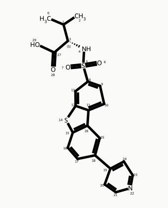 CC(C)[C@H](NS(=O)(=O)c1ccc2c(c1)sc1ccc(-c3ccncc3)cc12)C(=O)O